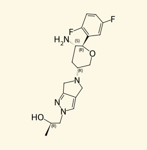 C[C@@H](O)Cn1cc2c(n1)CN([C@H]1CO[C@H](c3cc(F)ccc3F)[C@@H](N)C1)C2